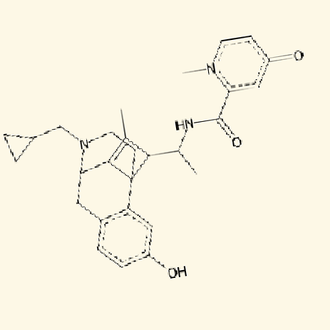 CC1=C2C3Cc4ccc(O)cc4C2(CCN3CC2CC2)C1C(C)NC(=O)c1cc(=O)ccn1C